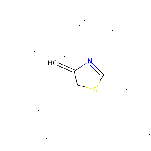 [CH]=C1CSC=N1